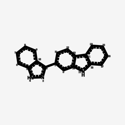 [c]1c(-c2n[nH]c3ccccc23)ccc2c1[nH]c1ccccc12